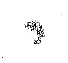 N#Cc1cnc(NCc2cccc3ccsc23)nc1NC[C@]12CC3C[C@H](C1)[C@@H](N)[C@@H](C3)C2